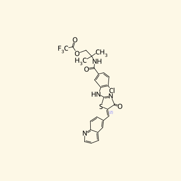 CC(C)(COC(=O)C(F)(F)F)NC(=O)c1ccc(Cl)c(NC2=NC(=O)/C(=C/c3ccc4ncccc4c3)S2)c1